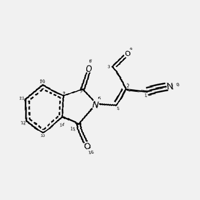 N#C/C(C=O)=C/N1C(=O)c2ccccc2C1=O